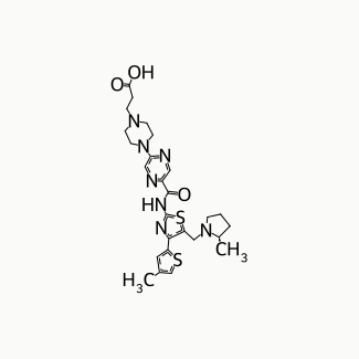 Cc1csc(-c2nc(NC(=O)c3cnc(N4CCN(CCC(=O)O)CC4)cn3)sc2CN2CCC[C@H]2C)c1